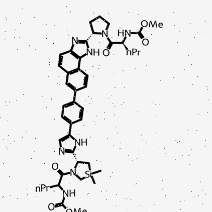 CCCC(NC(=O)OC)C(=O)N1C[Si](C)(C)C[C@H]1c1ncc(-c2ccc(-c3ccc4c(ccc5nc([C@@H]6CCCN6C(=O)[C@H](CCC)NC(=O)OC)[nH]c54)c3)cc2)[nH]1